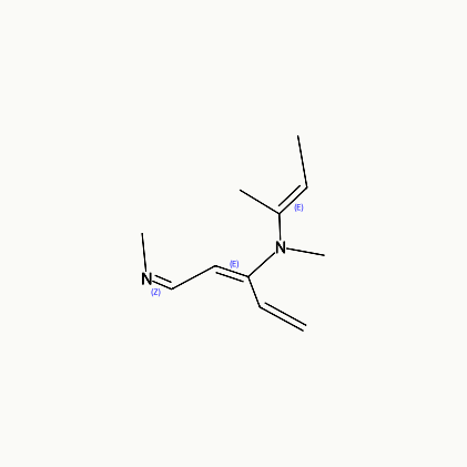 C=C/C(=C\C=N/C)N(C)/C(C)=C/C